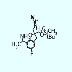 CC(N)c1cc(F)cc2c1OC(CN=[N+]=[N-])(CO[Si](C)(C)C(C)(C)C)C2